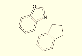 c1ccc2c(c1)CCC2.c1ccc2ocnc2c1